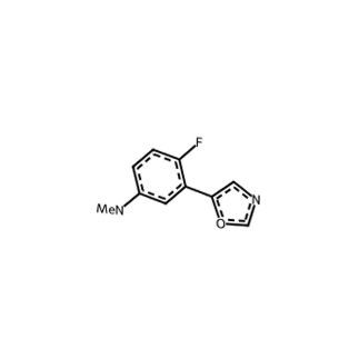 CNc1ccc(F)c(-c2cnco2)c1